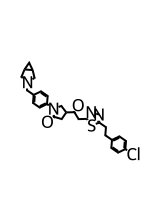 O=C(Cc1nnc(CCc2ccc(Cl)cc2)s1)C1CC(=O)N(c2ccc(CN3CC4CC4C3)cc2)C1